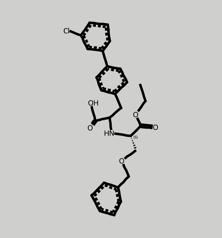 CCOC(=O)[C@H](COCc1ccccc1)NC(Cc1ccc(-c2cccc(Cl)c2)cc1)C(=O)O